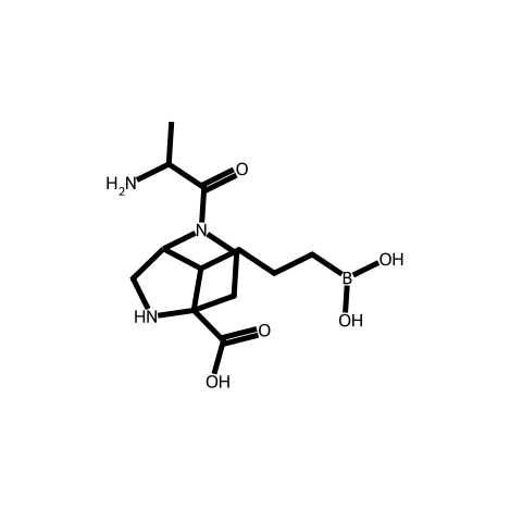 CC(N)C(=O)N1CCC2(C(=O)O)NCC1C2CCCB(O)O